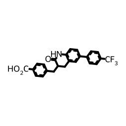 O=C(O)c1ccc(CC2Cc3cc(-c4ccc(C(F)(F)F)cc4)ccc3NC2=O)cc1